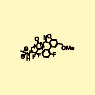 COCc1cc(-c2c(F)cccc2F)c2c(-n3cc4n(c3=O)C[C@@H](NS(C)(=O)=O)C4(F)F)noc2c1